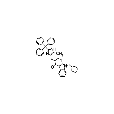 Cc1[nH]c(C(c2ccccc2)(c2ccccc2)c2ccccc2)nc1CC1CCc2c(c3ccccc3n2CC2CCCC2)C1=O